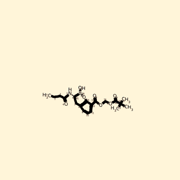 CCCC(=O)N[C@H]1Cc2cccc(C(=O)OCOC(=O)C(C)(C)C)c2OB1O